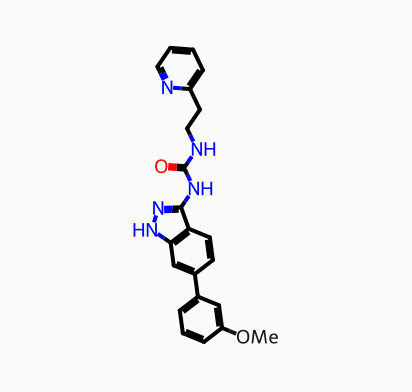 COc1cccc(-c2ccc3c(NC(=O)NCCc4ccccn4)n[nH]c3c2)c1